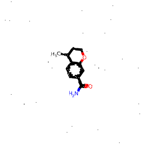 CC1CCOc2cc(C(N)=O)ccc21